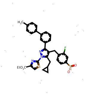 CCOC(=O)c1csc(-n2nc(-c3cccc(-c4ccc(C)cc4)c3)c(Cc3ccc([SH](=O)=O)cc3F)c2CC2CC2)n1